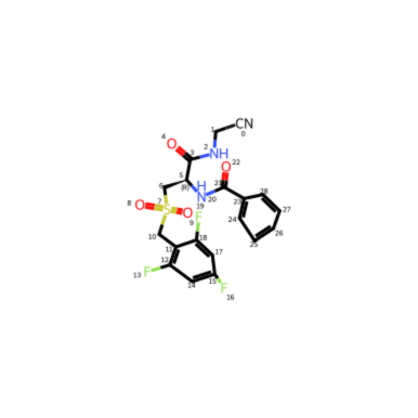 N#CCNC(=O)[C@H](CS(=O)(=O)Cc1c(F)cc(F)cc1F)NC(=O)c1ccccc1